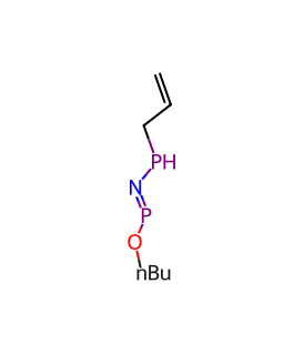 C=CCPN=POCCCC